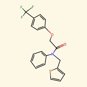 O=C(COc1ccc(C(F)(F)F)cc1)N(Cc1cccs1)c1ccccc1